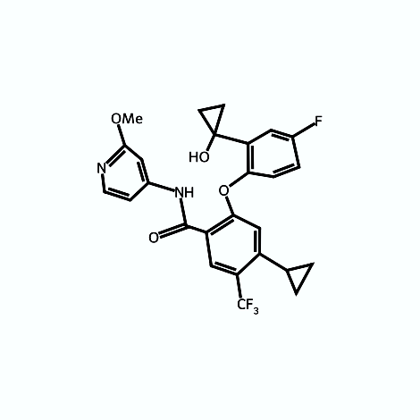 COc1cc(NC(=O)c2cc(C(F)(F)F)c(C3CC3)cc2Oc2ccc(F)cc2C2(O)CC2)ccn1